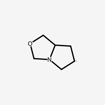 [CH]1CC2COCN2C1